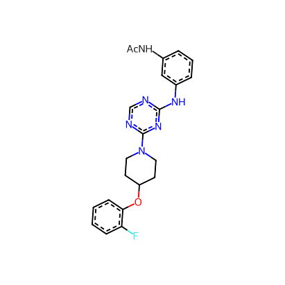 CC(=O)Nc1cccc(Nc2ncnc(N3CCC(Oc4ccccc4F)CC3)n2)c1